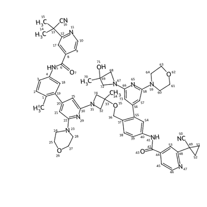 Cc1ccc(NC(=O)c2ccnc(C(C)(C)C#N)c2)cc1-c1cc(N2CCOCC2)nc(N2CC(C)(OCc3ccc(NC(=O)c4ccnc(C5(C#N)CC5)c4)cc3-c3cc(N4CCOCC4)nc(N4CC(C)(O)C4)c3)C2)c1